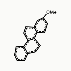 COc1ccc2c(ccc3c4ccccc4ccc23)c1